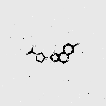 O=C(O)N1CC[C@@H](c2nc3cnc4cc(Br)ccc4c3[nH]2)C1